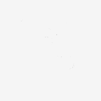 c1ccc(C2N=C(c3ccc4c(c3)sc3ccccc34)NC(c3ccc4sc5cc(-c6cccc7c6oc6ccccc67)ccc5c4c3)N2)cc1